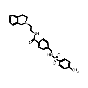 Cc1ccc(S(=O)(=O)NCc2ccc(C(=O)NCCN3CCc4ccccc4C3)cc2)cc1